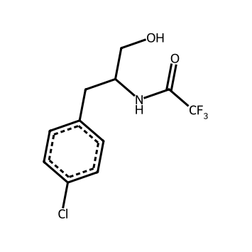 O=C(NC(CO)Cc1ccc(Cl)cc1)C(F)(F)F